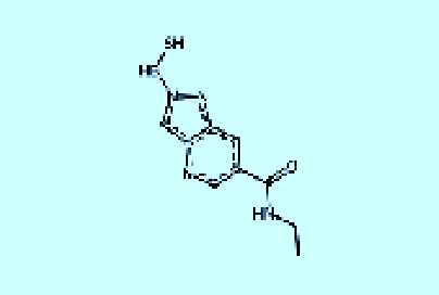 CCNC(=O)c1cnc2cn(BS)nc2c1